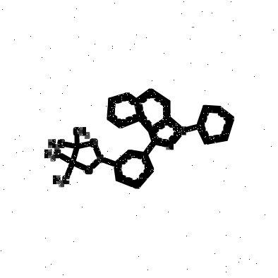 CC1(C)OB(c2cccc(-c3nn(-c4ccccc4)c4ccc5ccccc5c34)c2)OC1(C)C